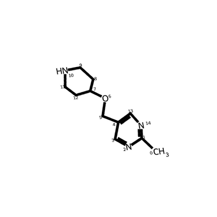 Cc1ncc(COC2CCNCC2)cn1